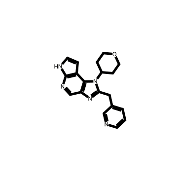 c1cncc(Cc2nc3cnc4[nH]ccc4c3n2C2CCOCC2)c1